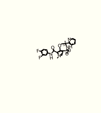 Cn1cc2c(c1C(=O)Nc1ccc(F)c(F)c1)OC[C@](C)(c1ccccn1)NS2(=O)=O